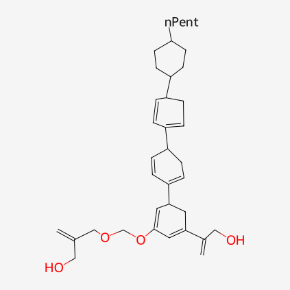 C=C(CO)COCOC1=CC(C2=CCC(C3=CCC(C4CCC(CCCCC)CC4)C=C3)C=C2)CC(C(=C)CO)=C1